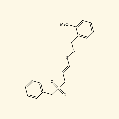 COc1ccccc1CSSC=CCS(=O)(=O)Cc1ccccc1